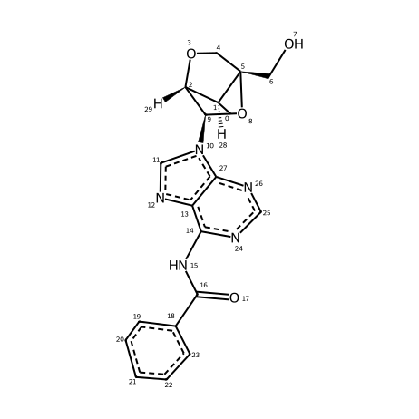 C[C@H]1[C@H]2OC[C@]1(CO)O[C@H]2n1cnc2c(NC(=O)c3ccccc3)ncnc21